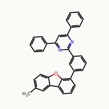 Cc1ccc2oc3c(-c4cccc(-c5nc(-c6ccccc6)cc(-c6ccccc6)n5)c4)cccc3c2c1